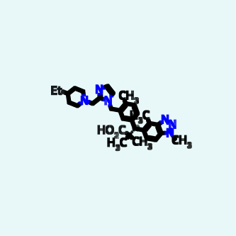 CCC1CCN(Cc2nccn2Cc2cc([C@H](c3ccc4c(nnn4C)c3C)C(C)(C)C(=O)O)ccc2C)CC1